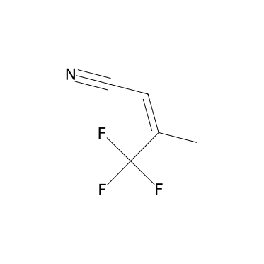 CC(=CC#N)C(F)(F)F